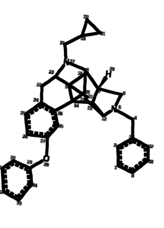 c1ccc(CN2C[C@H]3CC45CCC2C3C42CCN(CC3CC3)C5Cc3ccc(Oc4ccccc4)cc32)cc1